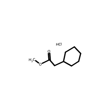 COC(=O)CC1CCCCC1.Cl